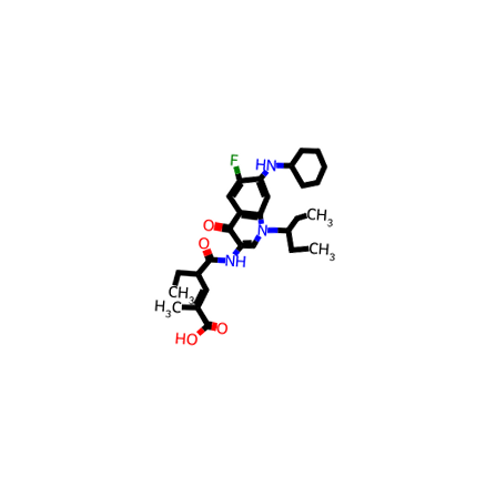 CCC(C=C(C)C(=O)O)C(=O)Nc1cn(C(CC)CC)c2cc(NC3CCCCC3)c(F)cc2c1=O